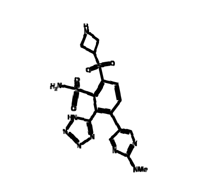 CNc1ncc(-c2ccc(S(=O)(=O)C3CNC3)c(S(N)(=O)=O)c2-c2nnn[nH]2)cn1